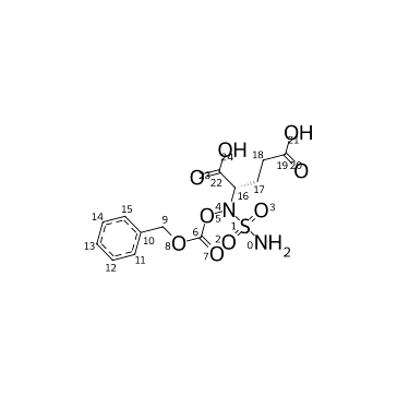 NS(=O)(=O)N(OC(=O)OCc1ccccc1)[C@@H](CCC(=O)O)C(=O)O